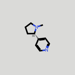 CN1CCC[C@H]1c1ccncc1